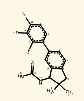 CC1(C)Cc2ccc(-c3ccc(F)c(F)c3F)cc2C1NC(=O)O